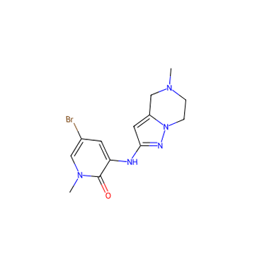 CN1CCn2nc(Nc3cc(Br)cn(C)c3=O)cc2C1